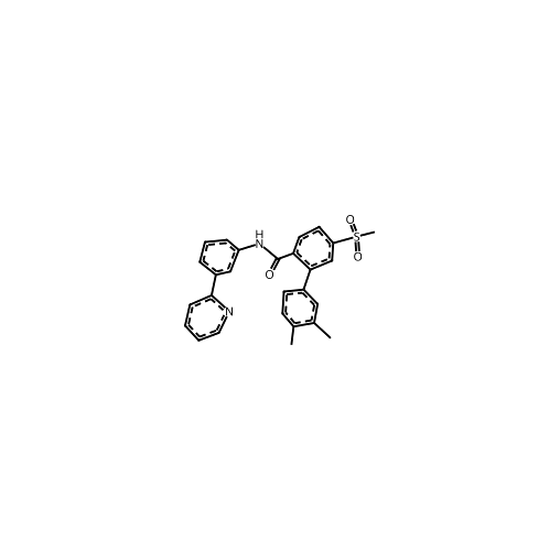 Cc1ccc(-c2cc(S(C)(=O)=O)ccc2C(=O)Nc2cccc(-c3ccccn3)c2)cc1C